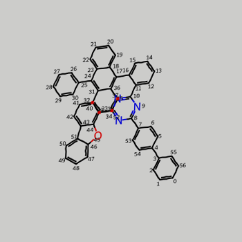 c1ccc(-c2ccc(-c3nc(-c4ccccc4-c4c5ccccc5c(-c5ccccc5)c5ccccc45)nc(-c4cccc5c4oc4ccccc45)n3)cc2)cc1